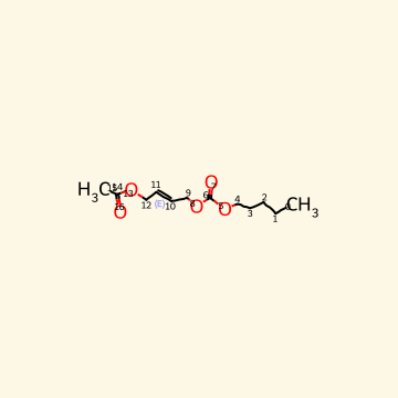 CCCCCOC(=O)OC/C=C/COC(C)=O